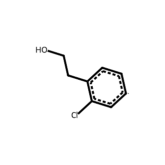 OCCc1cc[c]cc1Cl